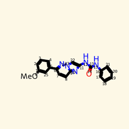 COc1cccc(-c2ccc3nc(NC(=O)Nc4ccccc4)cn3n2)c1